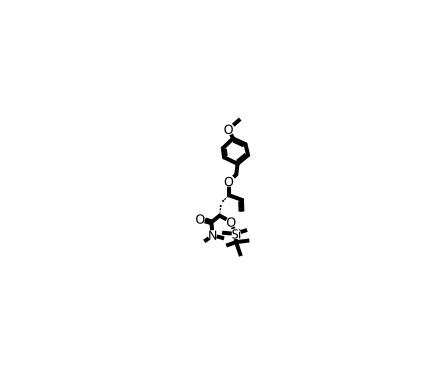 C=C[C@H](C[C@H](O[Si](C)(C)C(C)(C)C)C(=O)N(C)C)OCc1ccc(OC)cc1